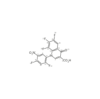 O=C(O)c1cn(-c2cc([N+](=O)[O-])c(F)cc2F)c2c(F)c(F)c(F)cc2c1=O